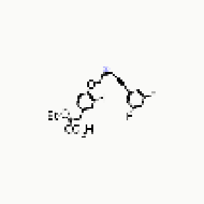 CCO[C@@H](Cc1ccc(OC/C=C\C#Cc2cc(F)cc(F)c2)c(I)c1)C(=O)O